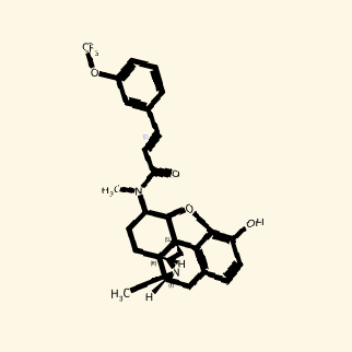 CN(C(=O)/C=C/c1cccc(OC(F)(F)F)c1)C1CC[C@H]2[C@H]3Cc4ccc(O)c5c4[C@@]2(CCN3C)C1O5